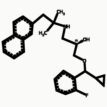 CC(C)(Cc1ccc2ccccc2c1)NC[C@@H](O)COC(c1ccccc1F)C1CC1